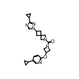 O=C(N1CC(Oc2ccc(C3CC3)cn2)C1)N1CC2(CC(n3cnc(C4CC4)n3)C2)C1